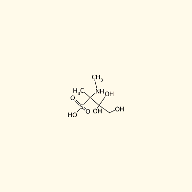 CNC(C)(C(O)(O)CO)S(=O)(=O)O